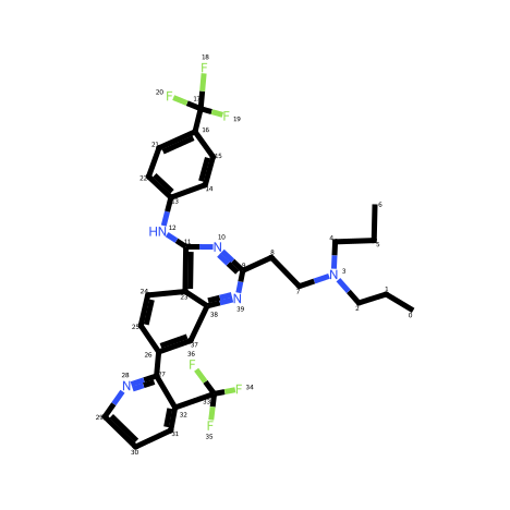 CCCN(CCC)CCc1nc(Nc2ccc(C(F)(F)F)cc2)c2ccc(-c3ncccc3C(F)(F)F)cc2n1